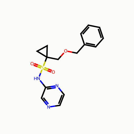 O=S(=O)(Nc1cnccn1)C1(COCc2ccccc2)CC1